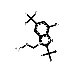 CSCn1c(C(F)(F)F)nc2c(Br)cc(C(F)(F)F)cc21